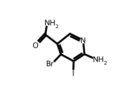 NC(=O)c1cnc(N)c(I)c1Br